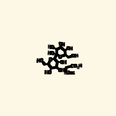 CCCCCCCCCCCC(=O)O.OC[C@H]1O[C@H]([C@]2(O)O[C@H](CO)[C@@H](O)[C@H](O)[C@H]2O)[C@H](O)[C@@H](O)[C@@H]1O